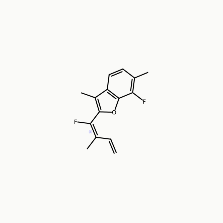 C=C/C(C)=C(/F)c1oc2c(F)c(C)ccc2c1C